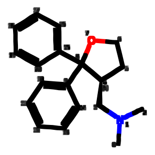 CN(C)C[C@@H]1CCOC1(c1ccccc1)c1ccccc1